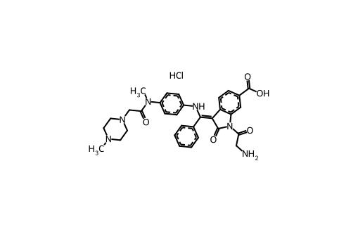 CN1CCN(CC(=O)N(C)c2ccc(NC(=C3C(=O)N(C(=O)CN)c4cc(C(=O)O)ccc43)c3ccccc3)cc2)CC1.Cl